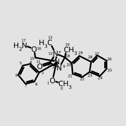 COC1(c2ccccc2)N2C(=O)[N+](C)(N1CON)C2(C)c1ccc2ccccc2c1